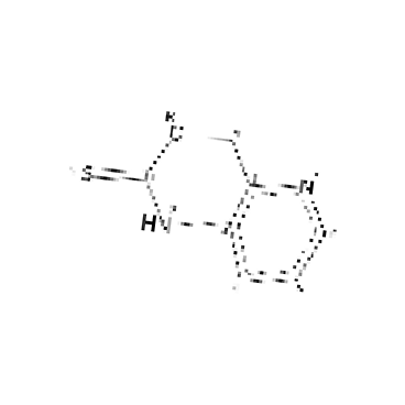 S=C1Nc2cccnc2CO1